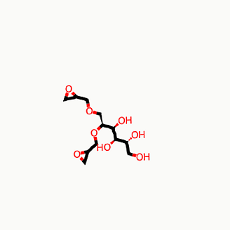 OC[C@@H](O)[C@@H](O)[C@H](O)[C@H](COCC1CO1)OCC1CO1